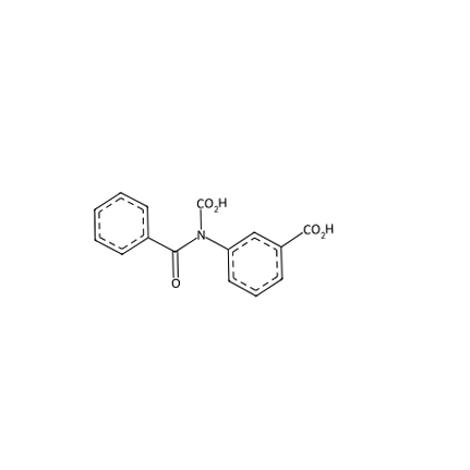 O=C(O)c1cccc(N(C(=O)O)C(=O)c2ccccc2)c1